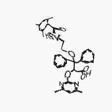 Cc1cc(C)c(C(=O)NCCOC(c2ccccc2)(c2ccccc2)C(Oc2nc(C)cc(C)n2)C(=O)O)c(C)c1